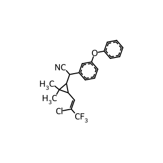 CC1(C)C(C=C(Cl)C(F)(F)F)C1C(C#N)c1cccc(Oc2ccccc2)c1